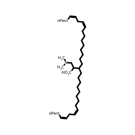 CCCCC/C=C\C/C=C\CCCCCCCCC(CCCCCCCC/C=C\C/C=C\CCCCC)C(CN(C)C)C(=O)O